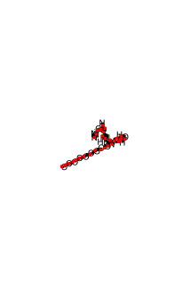 COCCOCCOCCOCCOCCOCCOCCOCCOc1nn(C2CCC(N3[C@@H]4CC[C@H]3COC4)CC2)cc1Nc1ncc(-c2ccc(C#N)c(O[C@@H](C)Cn3cncn3)c2)cn1